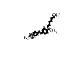 CN(CCCCCCO)c1ccc(/C=C/c2ccc(S(C)(=O)=O)cc2)cc1